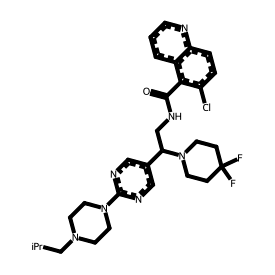 CC(C)CN1CCN(c2ncc(C(CNC(=O)c3c(Cl)ccc4ncccc34)N3CCC(F)(F)CC3)cn2)CC1